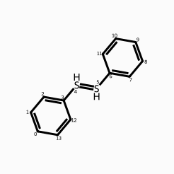 c1ccc([SH]=[SH]c2ccccc2)cc1